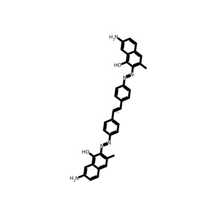 Cc1cc2ccc(N)cc2c(O)c1N=Nc1ccc(/C=C/c2ccc(N=Nc3c(C)cc4ccc(N)cc4c3O)cc2)cc1